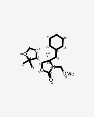 COCN1C(=O)O[C@H](C2OCOC2(C)C)[C@@]1(C)CC1CCCCC1